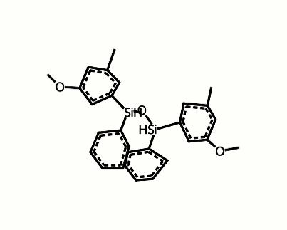 COc1cc(C)cc([SiH](O[SiH](c2ccccc2)c2cc(C)cc(OC)c2)c2ccccc2)c1